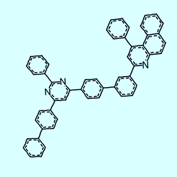 c1ccc(-c2ccc(-c3cc(-c4ccc(-c5cccc(-c6cc(-c7ccccc7)c7c(ccc8ccccc87)n6)c5)cc4)nc(-c4ccccc4)n3)cc2)cc1